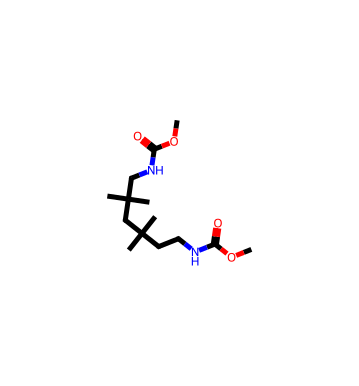 COC(=O)NCCC(C)(C)CC(C)(C)CNC(=O)OC